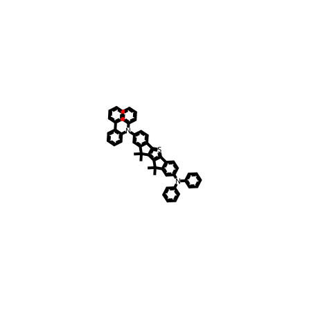 CC1(C)c2cc(N(c3ccccc3)c3ccccc3)ccc2-c2sc3c(c21)C(C)(C)c1cc(N(c2ccccc2)c2ccccc2-c2ccccc2)ccc1-3